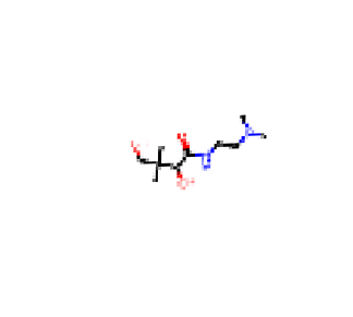 CN(C)CCNC(=O)C(O)C(C)(C)CO